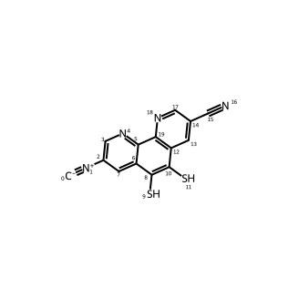 [C-]#[N+]c1cnc2c(c1)c(S)c(S)c1cc(C#N)cnc12